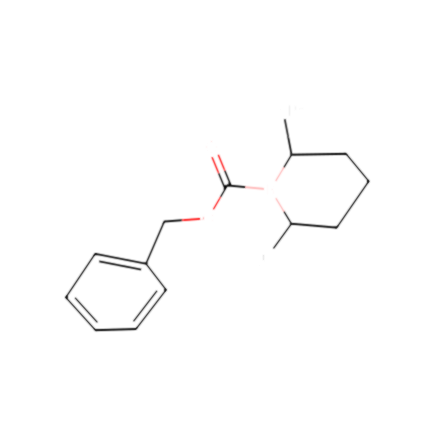 CCCC1CCCC(C)B1C(=O)OCc1ccccc1